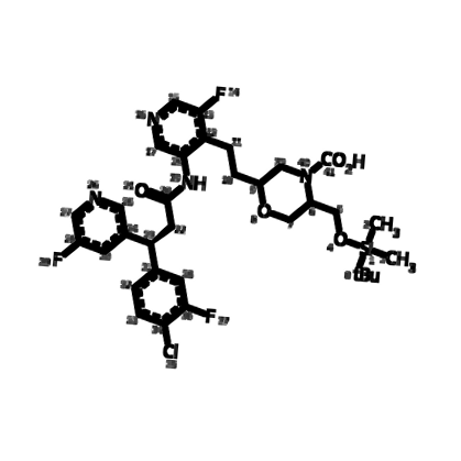 CC(C)(C)[Si](C)(C)OCC1COC(CCc2c(F)cncc2NC(=O)C[C@H](c2cncc(F)c2)c2ccc(Cl)c(F)c2)CN1C(=O)O